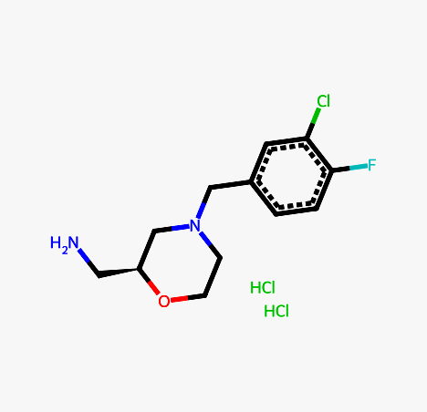 Cl.Cl.NC[C@H]1CN(Cc2ccc(F)c(Cl)c2)CCO1